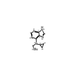 CC(C)(C)CN(c1ncnc2[nH]cnc12)C1CC1